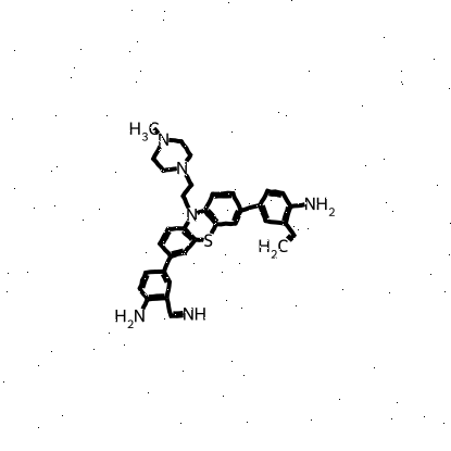 C=Cc1cc(-c2ccc3c(c2)Sc2cc(-c4ccc(N)c(C=N)c4)ccc2N3CCN2CCN(C)CC2)ccc1N